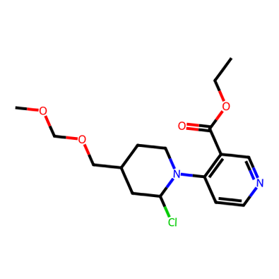 CCOC(=O)c1cnccc1N1CCC(COCOC)CC1Cl